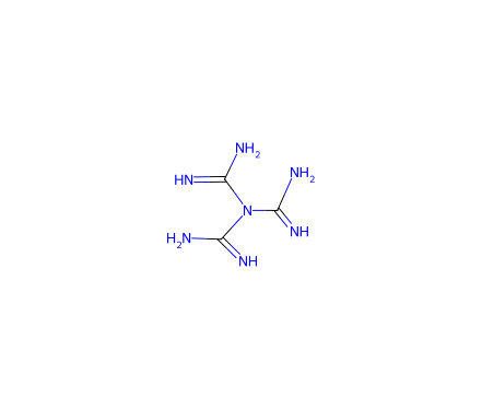 N=C(N)N(C(=N)N)C(=N)N